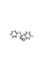 c1ccc(Cc2noc3ccccc23)cc1